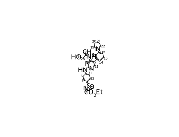 CCOC(=O)/N=[SH](=O)/c1ccc(Nc2ncc(-c3cccc(N4CCCC4)c3)c(N[C@H](C)CO)n2)cc1